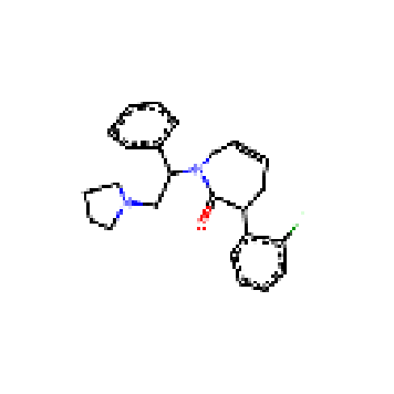 O=C1C(c2ccccc2Cl)CC=CCN1C(CN1CCCC1)c1ccccc1